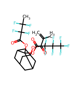 C=C(C)C(=O)OC12CC3CC(C1)C(OC(=O)C(F)(F)C(C)(F)F)(OC(=O)C(F)(F)C(F)(F)C(F)(F)F)C(C3)C2